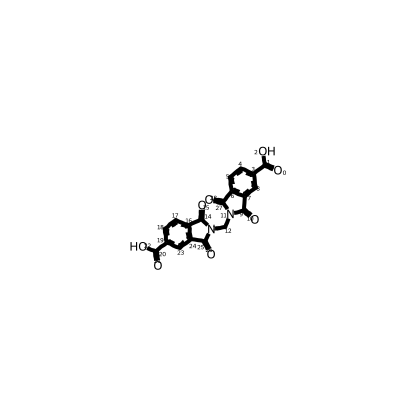 O=C(O)c1ccc2c(c1)C(=O)N(CN1C(=O)c3ccc(C(=O)O)cc3C1=O)C2=O